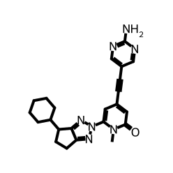 Cn1c(-n2nc3c(n2)C(C2CCCCC2)CC3)cc(C#Cc2cnc(N)nc2)cc1=O